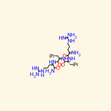 CC(C)C[C@@H](NC(=O)[C@H](N)CCCNC(=N)N)C(=O)N[C@H](CC(C)C)C(=O)N[C@H](CCCNC(=N)N)C(N)=O